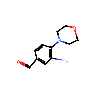 Nc1cc([C]=O)ccc1N1CCOCC1